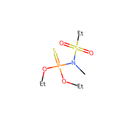 CCOP(=S)(OCC)N(C)S(=O)(=O)CC